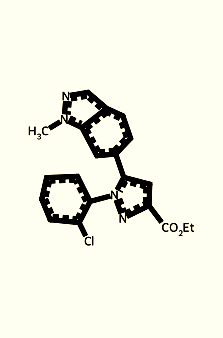 CCOC(=O)c1cc(-c2ccc3cnn(C)c3c2)n(-c2ccccc2Cl)n1